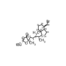 C[C@H](CCC[C@@]1(C)O[C@H](C(C)(C)C)OC1=O)[C@H]1CCC2C(=CBr)CCC[C@@]21C